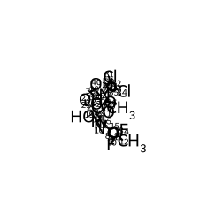 CO[C@@H]1[C@@H](n2cc(-c3cc(F)c(C)c(F)c3)nn2)[C@@H](O)[C@@H](CO)O[C@H]1C(=O)N(c1cc(Cl)cc(Cl)c1)[C@H]1CC[C@@H]1O